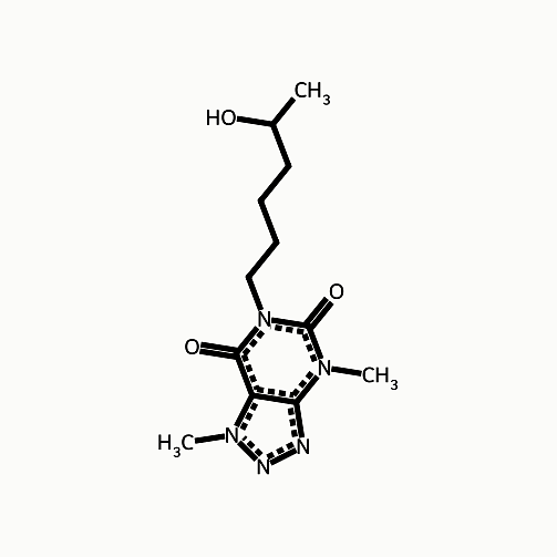 CC(O)CCCCn1c(=O)c2c(nnn2C)n(C)c1=O